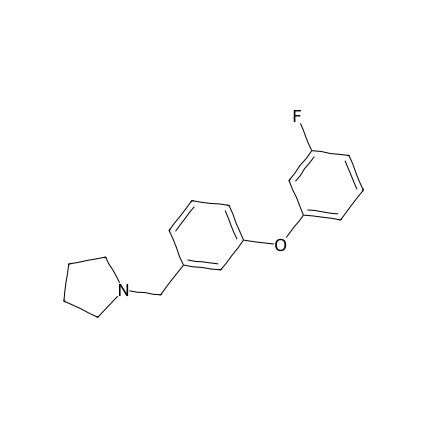 Fc1cccc(Oc2cccc(CN3CCCC3)c2)c1